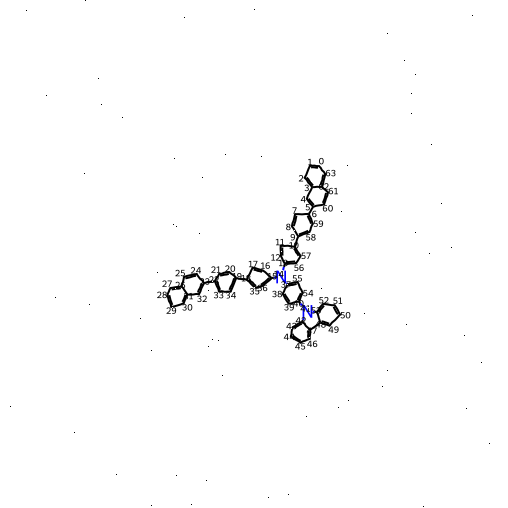 c1ccc2cc(-c3ccc(-c4ccc(N(c5ccc(-c6ccc(-c7ccc8ccccc8c7)cc6)cc5)c5ccc(-n6c7ccccc7c7ccccc76)cc5)cc4)cc3)ccc2c1